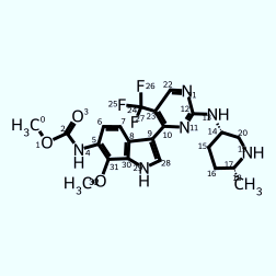 COC(=O)Nc1ccc2c(-c3nc(N[C@H]4CC[C@@H](C)NC4)ncc3C(F)(F)F)c[nH]c2c1OC